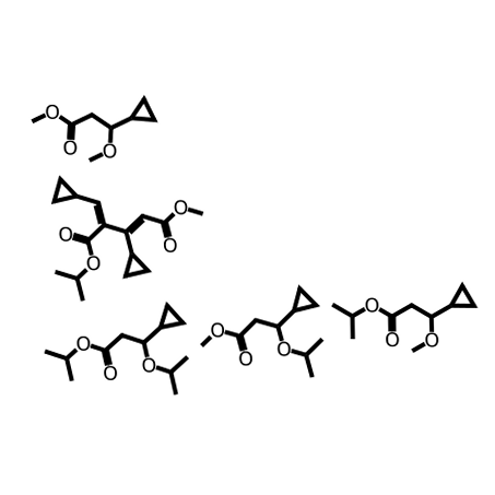 CC(C)OC(=O)CC(OC(C)C)C1CC1.COC(=O)C=C(C(=CC1CC1)C(=O)OC(C)C)C1CC1.COC(=O)CC(OC(C)C)C1CC1.COC(=O)CC(OC)C1CC1.COC(CC(=O)OC(C)C)C1CC1